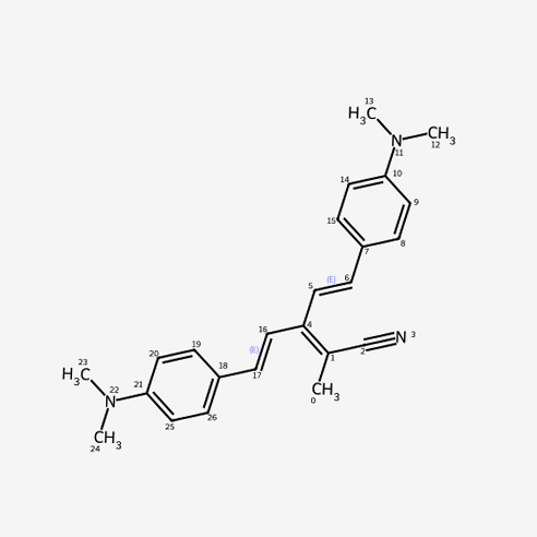 CC(C#N)=C(/C=C/c1ccc(N(C)C)cc1)/C=C/c1ccc(N(C)C)cc1